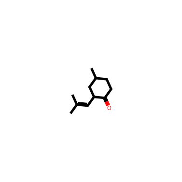 CC(C)=CC1CC(C)CCC1=O